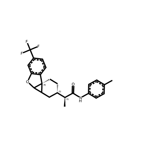 Cc1ccc(NC(=O)[C@@H](C)[C@H]2CC[C@@]34c5ccc(C(F)(F)F)cc5OC3C4C2)cc1